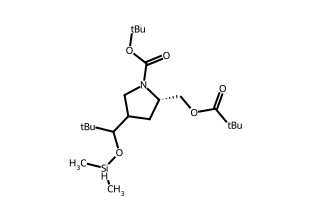 C[SiH](C)OC(C1C[C@@H](COC(=O)C(C)(C)C)N(C(=O)OC(C)(C)C)C1)C(C)(C)C